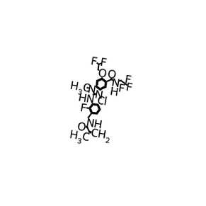 C=C(C)C(=O)NCc1ccc(Cl)c(Nc2nc3cc(C(=O)NCC(F)(F)F)c(OCC(F)F)cc3n2C)c1F